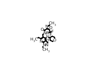 CCc1nc2c(cnn2CC)c(NC2CCOCC2)c1CNC(=O)c1nc(C)oc1C(F)(F)F